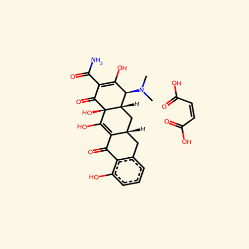 CN(C)[C@@H]1C(O)=C(C(N)=O)C(=O)[C@@]2(O)C(O)=C3C(=O)c4c(O)cccc4C[C@H]3C[C@@H]12.O=C(O)/C=C\C(=O)O